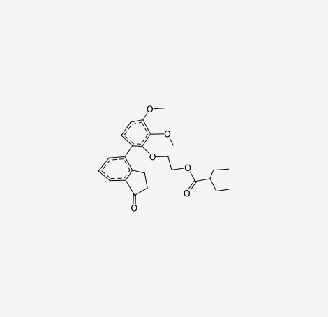 CCC(CC)C(=O)OCCOc1c(-c2cccc3c2CCC3=O)ccc(OC)c1OC